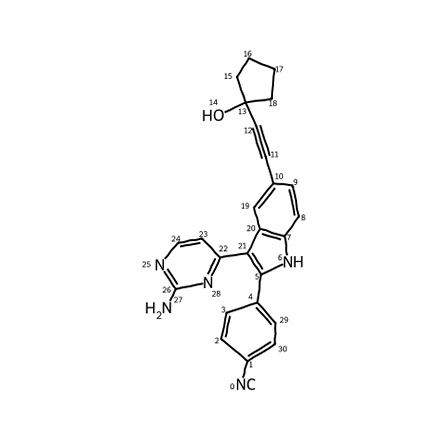 [C-]#[N+]c1ccc(-c2[nH]c3ccc(C#CC4(O)CCCC4)cc3c2-c2ccnc(N)n2)cc1